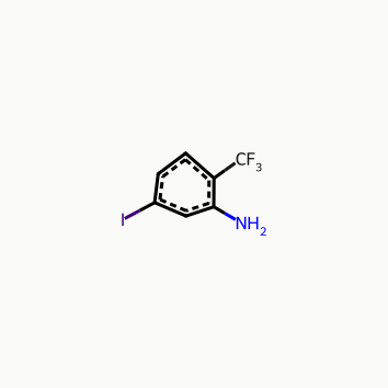 Nc1cc(I)ccc1C(F)(F)F